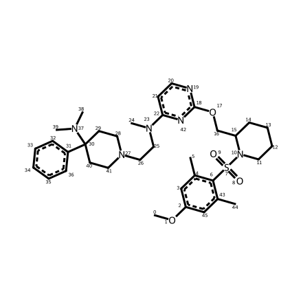 COc1cc(C)c(S(=O)(=O)N2CCCCC2COc2nccc(N(C)CCN3CCC(c4ccccc4)(N(C)C)CC3)n2)c(C)c1